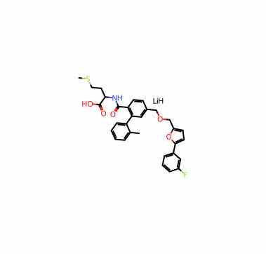 CSCCC(NC(=O)c1ccc(COCc2ccc(-c3cccc(F)c3)o2)cc1-c1ccccc1C)C(=O)O.[LiH]